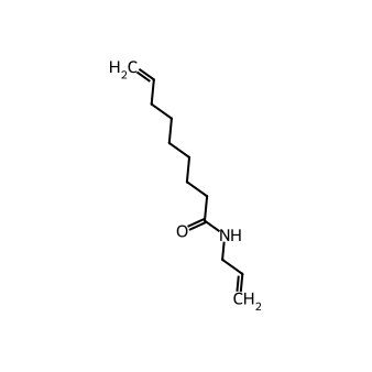 C=CCCCCCCC(=O)NCC=C